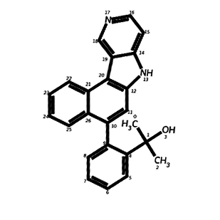 CC(C)(O)c1ccccc1-c1cc2[nH]c3ccncc3c2c2ccccc12